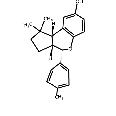 Cc1ccc([C@H]2Oc3ccc(O)cc3[C@@H]3[C@H]2CCC3(C)C)cc1